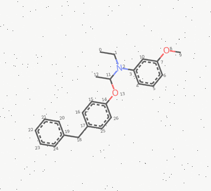 CCN(c1cccc(OC)c1)C(C)Oc1ccc(Cc2ccccc2)cc1